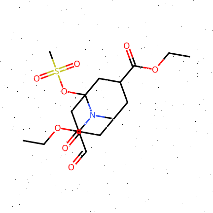 CCOC(=O)C1CC2CC(=O)CC(OS(C)(=O)=O)(C1)N2C(C=O)OCC